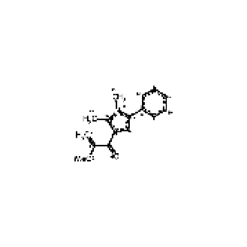 C=C(OC)C(=O)c1cc(-c2ccccc2)n(C)c1C